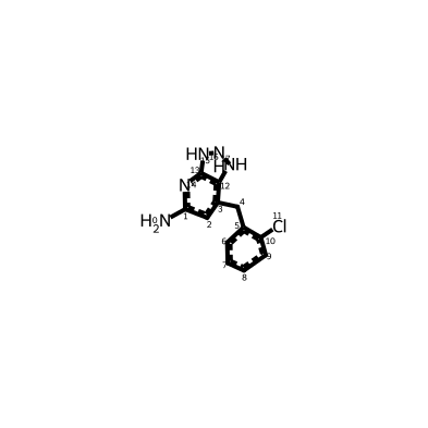 Nc1cc(Cc2ccccc2Cl)c2c(n1)NNN2